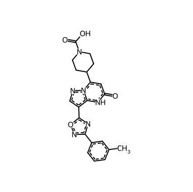 Cc1cccc(-c2noc(-c3cnn4c(C5CCN(C(=O)O)CC5)cc(=O)[nH]c34)n2)c1